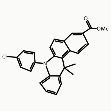 COC(=O)c1ccc2c3c(ccc2c1)N(c1ccc(Cl)cc1)c1ccccc1C3(C)C